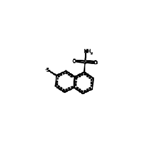 NS(=O)(=O)c1cccc2ccc([S])cc12